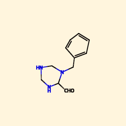 O=CC1NCNCN1Cc1ccccc1